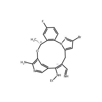 CCN/C1=C(\C=N)Cc2cc(Br)nn2-c2ccc(F)cc2[C@@H](C)Oc2cc1cnc2N